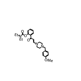 CCN(CC)C(=O)Oc1ccccc1C(=O)C=CN1CCN(Cc2ccc(OC)cc2)CC1